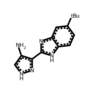 CC(C)(C)c1ccc2[nH]c(-c3n[nH]cc3N)nc2c1